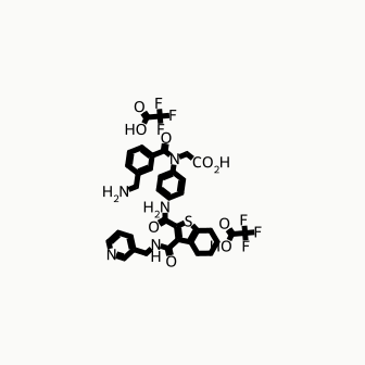 NC(=O)c1sc2c(c1C(=O)NCc1cccnc1)CCCC2.NCc1cccc(C(=O)N(CC(=O)O)c2ccccc2)c1.O=C(O)C(F)(F)F.O=C(O)C(F)(F)F